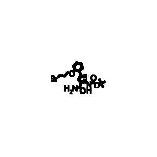 CC(C)(C)OC(=O)Nc1sc(-c2ccccc2OCCCBr)cc1C(N)=O